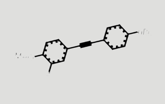 CCCCc1ccc(C#Cc2ccc(OC)c(F)c2)cc1